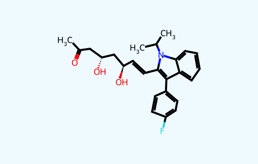 CC(=O)C[C@@H](O)C[C@H](O)/C=C/c1c(-c2ccc(F)cc2)c2ccccc2n1C(C)C